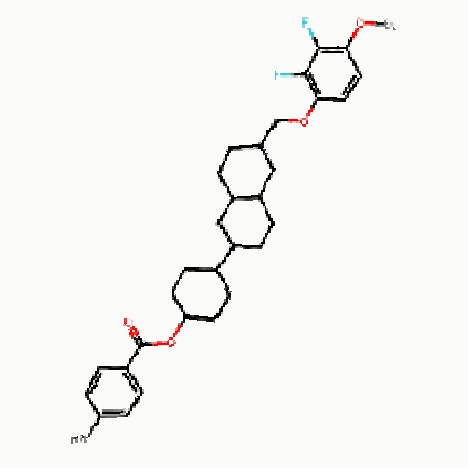 CCCc1ccc(C(=O)OC2CCC(C3CCC4CC(COc5ccc(OCC)c(F)c5F)CCC4C3)CC2)cc1